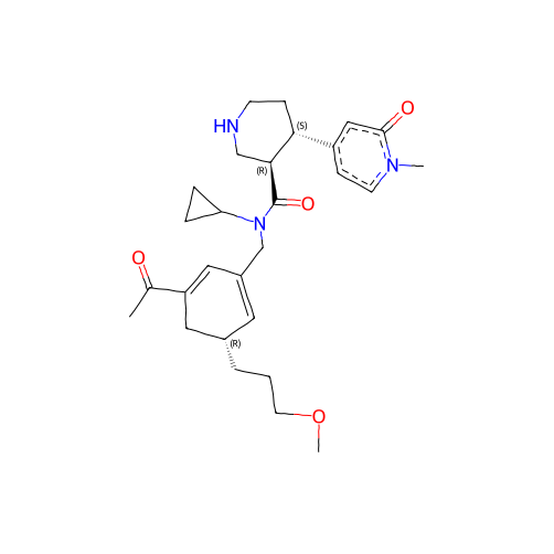 COCCC[C@H]1C=C(CN(C(=O)[C@H]2CNCC[C@@H]2c2ccn(C)c(=O)c2)C2CC2)C=C(C(C)=O)C1